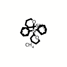 C.[SiH3]C1([Si](c2ccccc2)(c2ccccc2)C2CCCCO2)CCCCO1